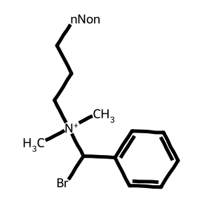 CCCCCCCCCCCC[N+](C)(C)C(Br)c1ccccc1